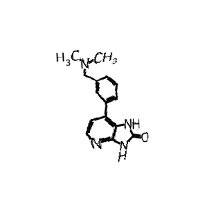 CN(C)Cc1cccc(-c2ccnc3[nH]c(=O)[nH]c23)c1